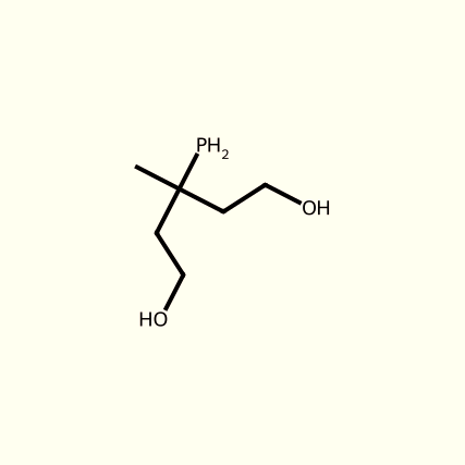 CC(P)(CCO)CCO